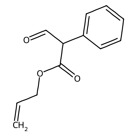 C=CCOC(=O)C(C=O)c1ccccc1